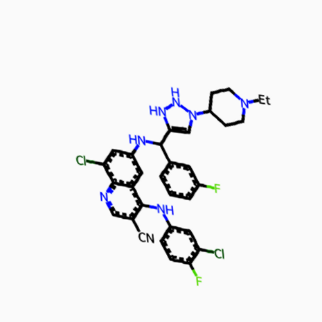 CCN1CCC(N2C=C(C(Nc3cc(Cl)c4ncc(C#N)c(Nc5ccc(F)c(Cl)c5)c4c3)c3cccc(F)c3)NN2)CC1